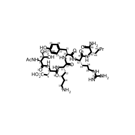 CC(=O)N[C@H](C(=O)N[C@@H](CC(=O)O)C(=O)N[C@@H](CCCCN)C(=O)N[C@@H](Cc1ccc(O)cc1)C(=O)N[C@@H](CCCNC(=N)N)C(=O)N[C@@H](CC(C)C)C(N)=O)[C@@H](C)O